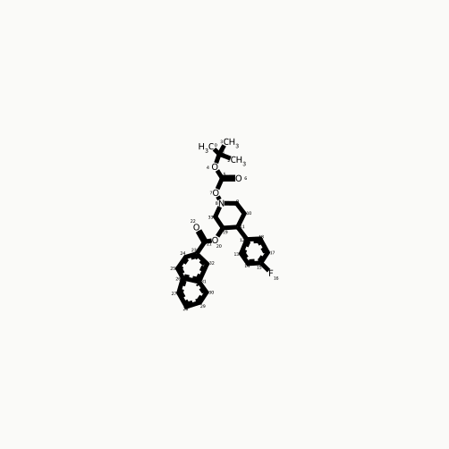 CC(C)(C)OC(=O)ON1CCC(c2ccc(F)cc2)C(OC(=O)c2ccc3ccccc3c2)C1